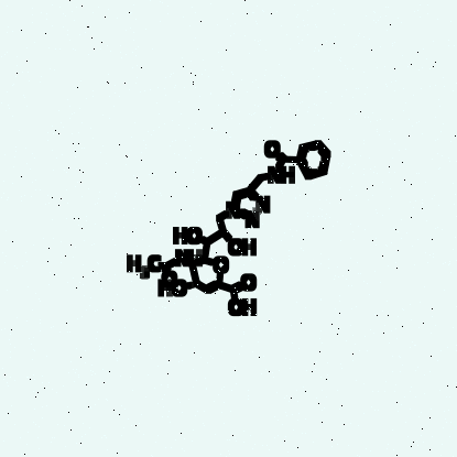 CC(=O)NC1C(C(O)C(O)Cn2cc(CNC(=O)c3ccccc3)nn2)OC(C(=O)O)=C[C@H]1O